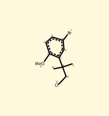 COc1ccc(Br)cc1C(C)(C)CCl